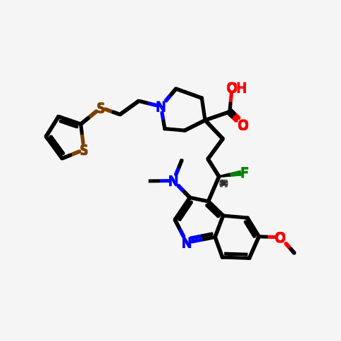 COc1ccc2ncc(N(C)C)c([C@H](F)CCC3(C(=O)O)CCN(CCSc4cccs4)CC3)c2c1